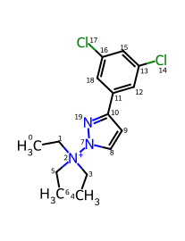 CC[N+](CC)(CC)n1ccc(-c2cc(Cl)cc(Cl)c2)n1